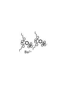 CCCCOC(=O)c1ccc(S(=O)(=O)[O-])cc1C(=O)OCCCC.CCCCOC(=O)c1ccc(S(=O)(=O)[O-])cc1C(=O)OCCCC.[Ba+2]